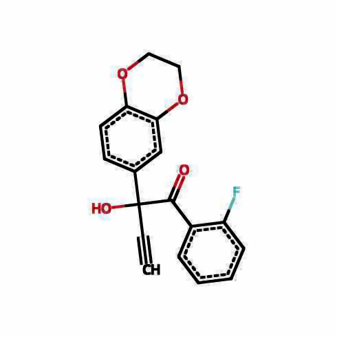 C#CC(O)(C(=O)c1ccccc1F)c1ccc2c(c1)OCCO2